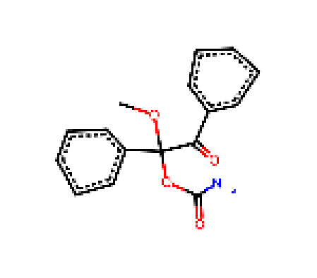 COC(OC(N)=O)(C(=O)c1ccccc1)c1ccccc1